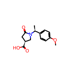 COc1ccc([C@H](C)N2C[C@@H](C(=O)O)CC2=O)cc1